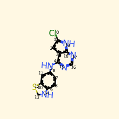 Clc1cc2c(Nc3ccc4c(c3)SCN4)ncnc2[nH]1